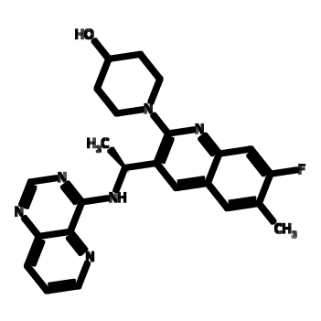 Cc1cc2cc([C@H](C)Nc3ncnc4cccnc34)c(N3CCC(O)CC3)nc2cc1F